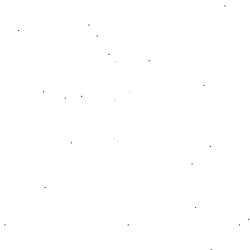 O=C(Nc1cc(Cl)c(Cl)cc1Cl)C1(F)C(F)(F)C(F)(F)C(F)(F)C(F)(F)C1(F)F